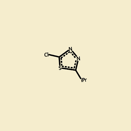 CC(C)c1nnc(Cl)s1